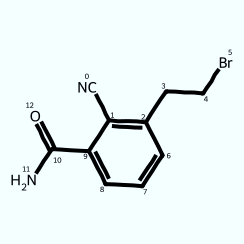 N#Cc1c(CCBr)cccc1C(N)=O